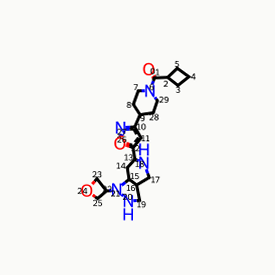 O=C(C1CCC1)N1CCC(c2cc(C3CC4C(CN3)CNN4C3COC3)on2)CC1